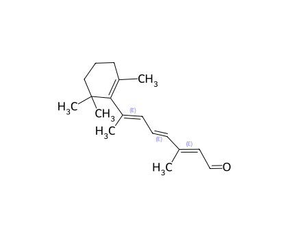 CC1=C(/C(C)=C/C=C/C(C)=C/C=O)C(C)(C)CCC1